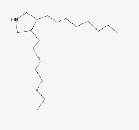 CCCCCCCCC1CNCC1CCCCCCCC